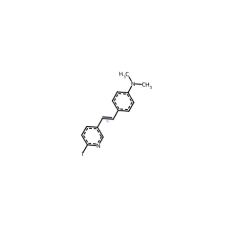 CN(C)c1ccc(/C=C/c2ccc(I)nc2)cc1